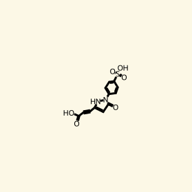 O=C(O)C#Cc1cc(=O)n(-c2ccc(S(=O)(=O)O)cc2)[nH]1